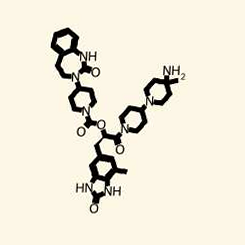 Cc1cc(C[C@@H](OC(=O)N2CCC(N3CCc4ccccc4NC3=O)CC2)C(=O)N2CCC(N3CCC(C)(N)CC3)CC2)cc2[nH]c(=O)[nH]c12